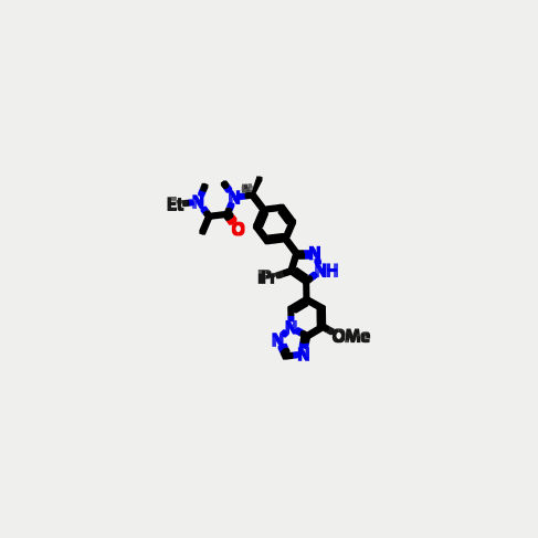 CCN(C)C(C)C(=O)N(C)[C@@H](C)c1ccc(-c2n[nH]c(-c3cc(OC)c4ncnn4c3)c2C(C)C)cc1